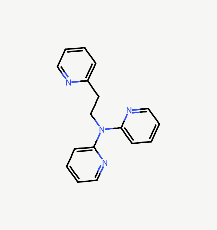 c1ccc(CCN(c2ccccn2)c2ccccn2)nc1